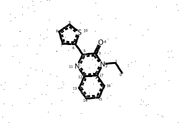 CCn1c(=O)c(-c2cccs2)nc2ccccc21